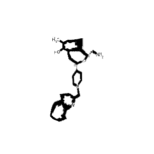 Cc1ccc2c(c1O)C[C@@H](C1CCN(Cc3ccc4ccccc4n3)CC1)O[C@H]2CN